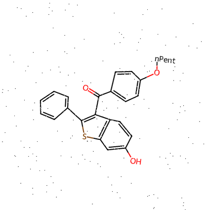 CCCCCOc1ccc(C(=O)c2c(-c3ccccc3)sc3cc(O)ccc23)cc1